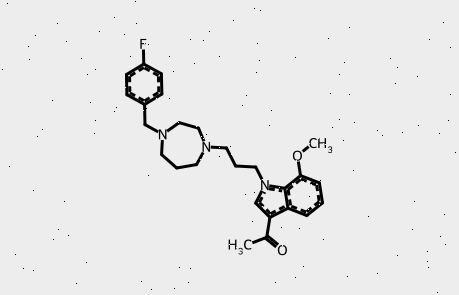 COc1cccc2c(C(C)=O)cn(CCCN3CCCN(Cc4ccc(F)cc4)CC3)c12